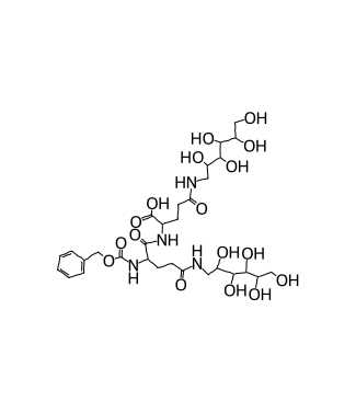 O=C(CCC(NC(=O)C(CCC(=O)NCC(O)C(O)C(O)C(O)CO)NC(=O)OCc1ccccc1)C(=O)O)NCC(O)C(O)C(O)C(O)CO